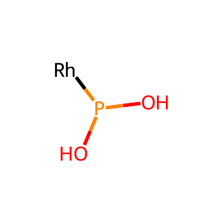 O[P](O)[Rh]